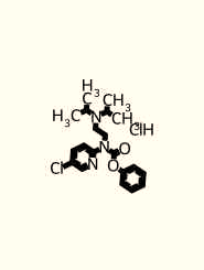 CC(C)N(CCN(C(=O)Oc1ccccc1)c1ccc(Cl)cn1)C(C)C.Cl